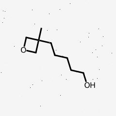 CC1(CCCCCO)COC1